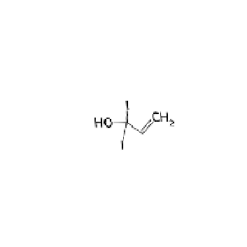 C=CC(O)(I)I